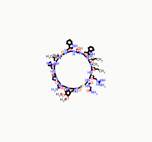 CCCC[C@H]1C(=O)N(C)[C@@H](CCCC)C(=O)N[C@@H](CCCNC(=N)N)C(=O)N[C@H](C(=O)NCC(N)=O)CSCC(=O)N[C@H]2Cc3cc(OC)c(OC)cc3N(C2=O)[C@@H](C)C(=O)N[C@@H](CC(N)=O)C(=O)N2CCC[C@H]2C(=O)N[C@@H](Cc2cnc[nH]2)C(=O)N[C@@H](CC(C)C)C(=O)N(C)CC(=O)N[C@@H](Cc2c[nH]c3ccccc23)C(=O)N[C@@H](CO)C(=O)N[C@@H](Cc2c[nH]c3ccccc23)C(=O)N1C